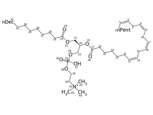 CCCCC/C=C\C/C=C\C/C=C\C/C=C\CCCCCC(=O)O[C@H](COC(=O)CCCCCCCCCCCCCCCCC)COP(=O)(O)OCC[N+](C)(C)C